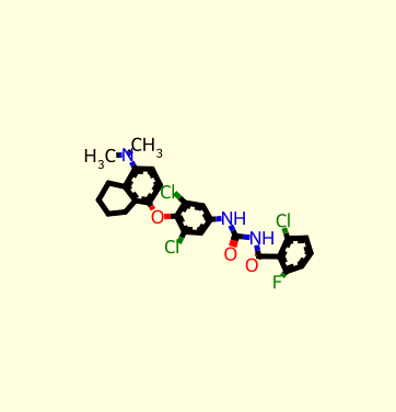 CN(C)c1ccc(Oc2c(Cl)cc(NC(=O)NC(=O)c3c(F)cccc3Cl)cc2Cl)c2c1CCCC2